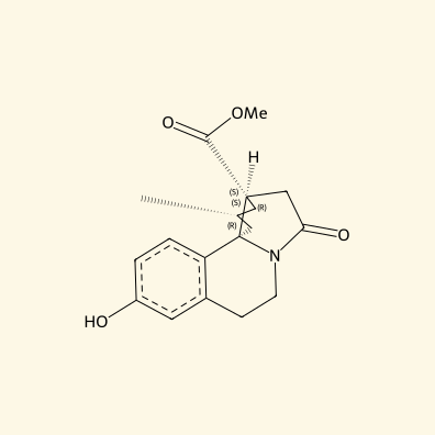 COC(=O)[C@@H]1[C@@H](C)C[C@@]23c4ccc(O)cc4CCN2C(=O)C[C@@H]13